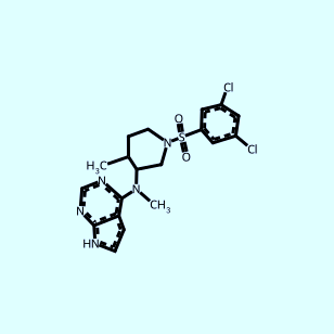 CC1CCN(S(=O)(=O)c2cc(Cl)cc(Cl)c2)CC1N(C)c1ncnc2[nH]ccc12